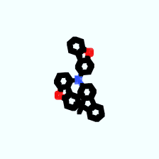 CC1(C)c2ccccc2-c2ccc(N(c3ccc4oc5ccccc5c4c3)c3cccc4oc5ccccc5c34)cc21